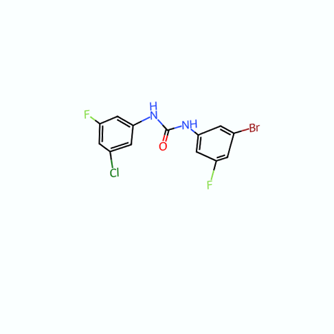 O=C(Nc1cc(F)cc(Cl)c1)Nc1cc(F)cc(Br)c1